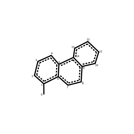 Cc1cccc2c1c[c]c1ccccc12